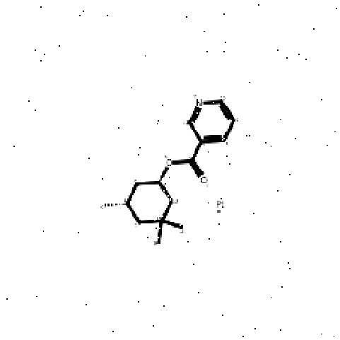 C[C@@H]1C[C@@H](OC(=O)c2cccnc2)CC(C)(C)C1.[Pt]